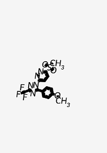 COc1ccc(-c2nc(C(F)(F)F)nn2-c2ccc(S(C)(=O)=O)nn2)cc1